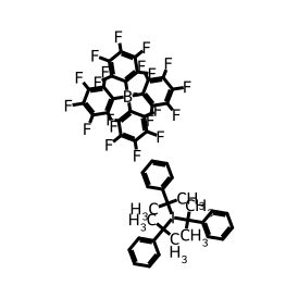 CC(C)(c1ccccc1)I(C(C)(C)c1ccccc1)C(C)(C)c1ccccc1.Fc1c(F)c(F)c([B-](c2c(F)c(F)c(F)c(F)c2F)(c2c(F)c(F)c(F)c(F)c2F)c2c(F)c(F)c(F)c(F)c2F)c(F)c1F